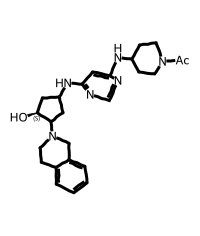 CC(=O)N1CCC(Nc2cc(NC3CC(N4CCc5ccccc5C4)[C@@H](O)C3)ncn2)CC1